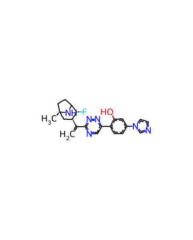 C=C(c1ncc(-c2ccc(-n3ccnc3)cc2O)nn1)[C@H]1C[C@]2(C)CCC(N2)[C@H]1F